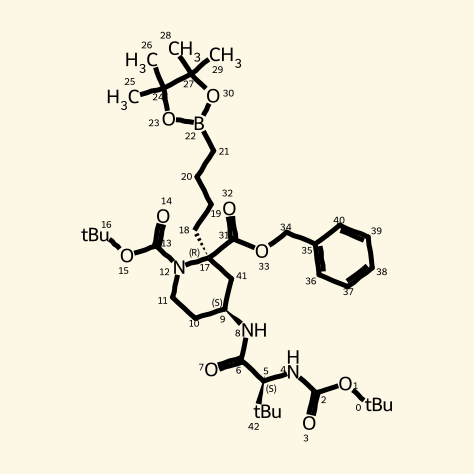 CC(C)(C)OC(=O)N[C@H](C(=O)N[C@H]1CCN(C(=O)OC(C)(C)C)[C@@](CCCCB2OC(C)(C)C(C)(C)O2)(C(=O)OCc2ccccc2)C1)C(C)(C)C